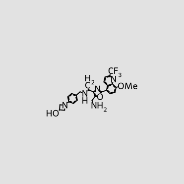 C=C(NCc1ccc(N2CC(O)C2)cc1)c1nc(-c2ccc(OC)c3nc(C(F)(F)F)ccc23)oc1CN